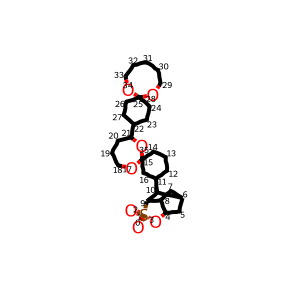 O=S1(=O)OC2CC3CC2C1C3C1CCCC2(C1)OCCCC(C1CCC3(CC1)OCCCCCO3)O2